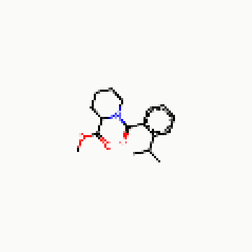 COC(=O)C1CCCCN1C(=O)c1ccccc1C(C)C